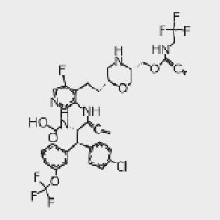 C=C=C(NCC(F)(F)F)OC[C@@H]1CO[C@H](CCc2c(F)cncc2NC(=C=C)[C@@H](NC(=O)O)[C@@H](c2ccc(Cl)cc2)c2cccc(OC(F)(F)F)c2)CN1